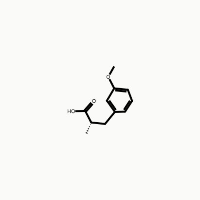 COc1cccc(C[C@H](C)C(=O)O)c1